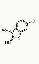 CC(=O)n1c(=N)sc2cc(O)ccc21